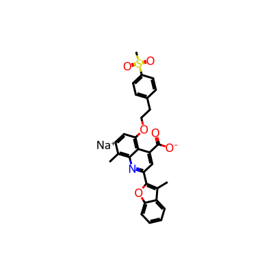 Cc1c(-c2cc(C(=O)[O-])c3c(OCCc4ccc(S(C)(=O)=O)cc4)ccc(C)c3n2)oc2ccccc12.[Na+]